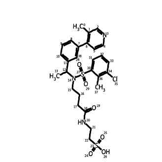 Cc1cnccc1-c1cccc(C(C)N(CCCC(=O)NCCS(=O)(=O)O)S(=O)(=O)c2cccc(Cl)c2C)c1